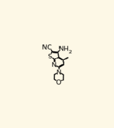 Cc1cc(N2CCOCC2)nc2sc(C#N)c(N)c12